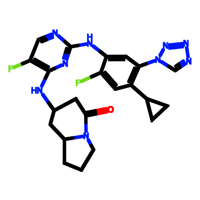 O=C1CC(Nc2nc(Nc3cc(-n4cnnn4)c(C4CC4)cc3F)ncc2F)CC2CCCN12